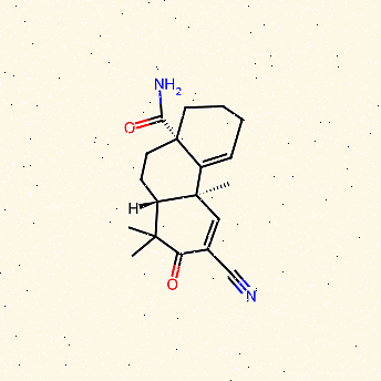 CC1(C)C(=O)C(C#N)=C[C@]2(C)C3=CCCC[C@]3(C(N)=O)CC[C@@H]12